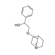 OC(COC1CN2CCC1CC2)c1ccccc1